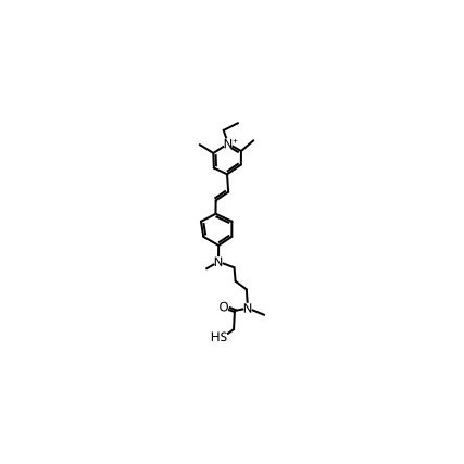 CC[n+]1c(C)cc(/C=C/c2ccc(N(C)CCCN(C)C(=O)CS)cc2)cc1C